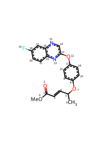 COC(=O)/C=C/C(C)Oc1ccc(Oc2cnc3cc(F)ccc3n2)cc1